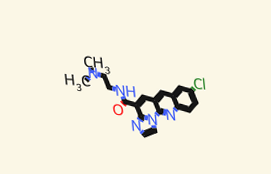 CN(C)CCNC(=O)c1cc2cc3cc(Cl)ccc3nc2n2ccnc12